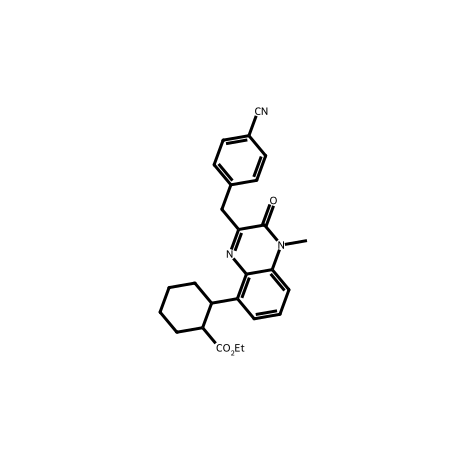 CCOC(=O)C1CCCCC1c1cccc2c1nc(Cc1ccc(C#N)cc1)c(=O)n2C